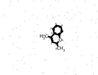 CC1=CC(C)Oc2ccccc21